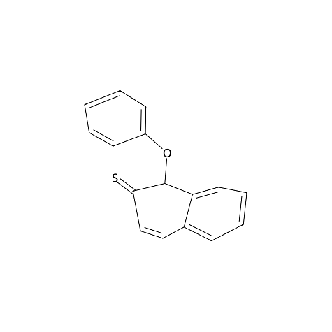 S=C1C=Cc2ccccc2C1Oc1ccccc1